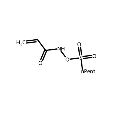 C=CC(=O)NOS(=O)(=O)CCCCC